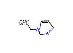 O=[C]CN1C=CC=NC1